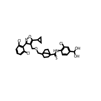 OC(O)c1ccc(NC(=S)C23CCC(COCc4c(-c5c(Cl)cccc5Cl)noc4C4CC4)(CC2)CC3)c(Cl)c1